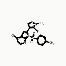 Cc1ccc(S(=O)(=O)n2c(-c3cnn(C)c3F)cc3c(Cl)ccnc32)cc1